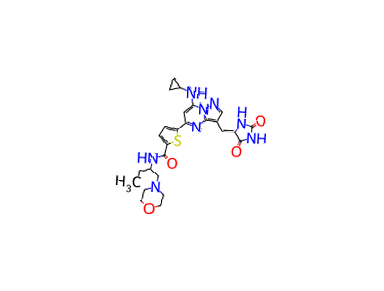 CCC(CN1CCOCC1)NC(=O)c1ccc(-c2cc(NC3CC3)n3ncc(/C=C4\NC(=O)NC4=O)c3n2)s1